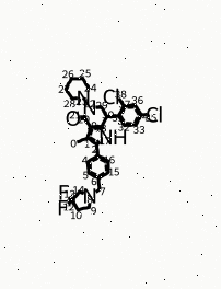 Cc1c(-c2ccc(CN3CCC(F)(F)C3)cc2)[nH]c2c1C(=O)N(N1CCCCC1)CC2c1ccc(Cl)cc1Cl